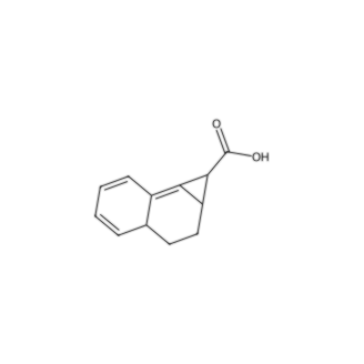 O=C(O)C1C2=C3C=CC=CC3CCC21